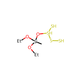 CCO[Si](C)(OCC)O[SH](S)SS